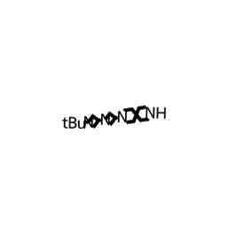 CC(C)(C)N1CC(N2CC(N3CCC4(CCNCC4)CC3)C2)C1